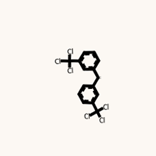 ClC(Cl)(Cl)c1cccc([C]c2cccc(C(Cl)(Cl)Cl)c2)c1